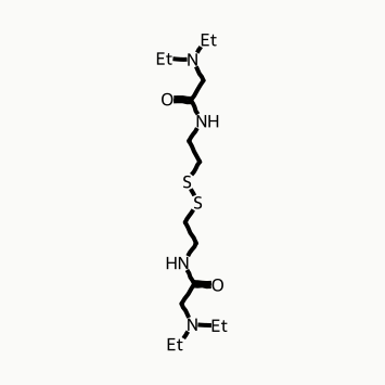 CCN(CC)CC(=O)NCCSSCCNC(=O)CN(CC)CC